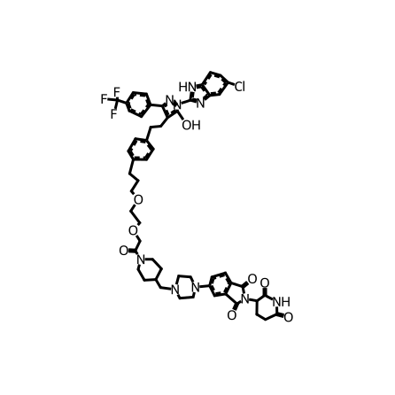 O=C1CCC(N2C(=O)c3ccc(N4CCN(CC5CCN(C(=O)COCCOCCCc6ccc(CCc7c(-c8ccc(C(F)(F)F)cc8)nn(-c8nc9cc(Cl)ccc9[nH]8)c7O)cc6)CC5)CC4)cc3C2=O)C(=O)N1